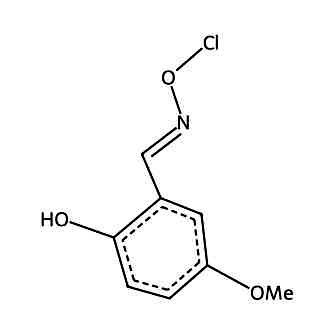 COc1ccc(O)c(C=NOCl)c1